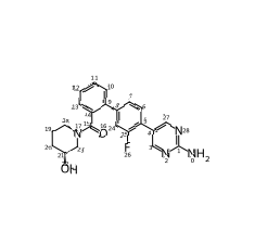 Nc1ncc(-c2ccc(-c3ccccc3C(=O)N3CCC[C@H](O)C3)cc2F)cn1